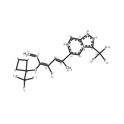 C=N/C(OC1(C(F)(F)F)CCC1)=C(F)\C=C(/C)c1cn2c(C(F)(F)F)nnc2cn1